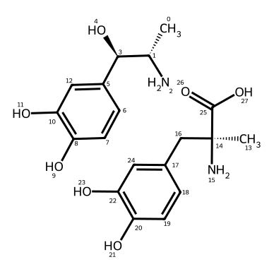 C[C@H](N)[C@H](O)c1ccc(O)c(O)c1.C[C@](N)(Cc1ccc(O)c(O)c1)C(=O)O